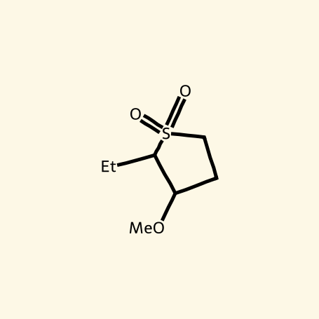 CCC1C(OC)CCS1(=O)=O